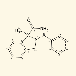 CC1(C(N)=O)c2ccccc2CN1Cc1ccccc1